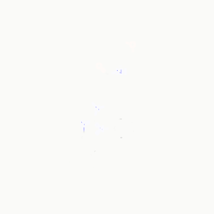 Cc1cc(-n2c(N3CCC(C(=O)N[C@@H]4CCOC4)CC3)nc3cc(Cl)c(Cl)cc32)cc(C)c1F